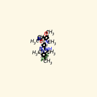 COc1ccc(N(C)c2ccc3nc(C)nc(N[C@H](C)c4cccc(C(C)(F)F)c4F)c3c2)cc1CC(=O)N(C)C